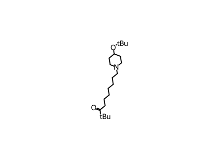 CC(C)(C)OC1CCN(CCCCCCCC(=O)C(C)(C)C)CC1